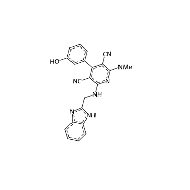 CNc1nc(NCc2nc3ccccc3[nH]2)c(C#N)c(-c2cccc(O)c2)c1C#N